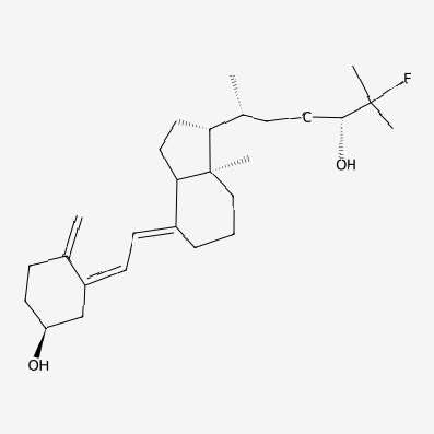 C=C1CC[C@H](O)C/C1=C/C=C1CCC[C@@]2(C)C1CC[C@@H]2[C@H](C)CC[C@@H](O)C(C)(C)F